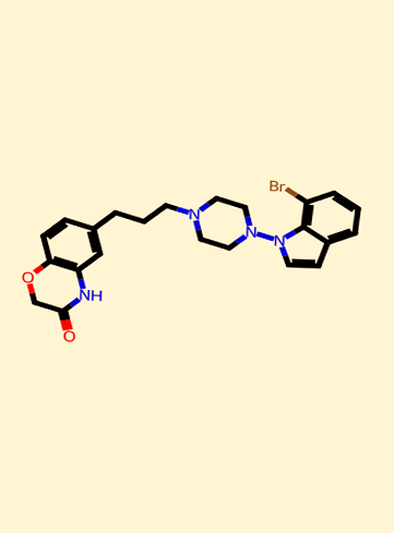 O=C1COc2ccc(CCCN3CCN(n4ccc5cccc(Br)c54)CC3)cc2N1